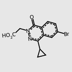 O=C(O)Cn1nc(C2CC2)c2cc(Br)ccc2c1=O